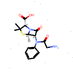 CC1(C)S[C@@H]2[C@H](N(C(=O)CN)c3ccccc3)C(=O)N2[C@H]1C(=O)O